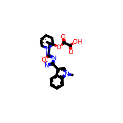 Cn1cc(-c2noc(C3CC4CCC3(OC(=O)C(=O)O)NC4)n2)c2ccccc21